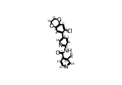 O=C(Nc1ccc(-c2cc3c(cc2Cl)OCCO3)cn1)c1ccncc1F